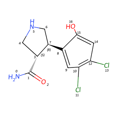 NC(=O)[C@@H]1CNC[C@H]1c1cc(Cl)c(Cl)cc1O